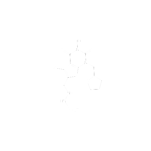 Cc1c(CNNC(=O)O)sc2c1c(=O)n(C(C)C)c(=O)n2CC1CCCO1